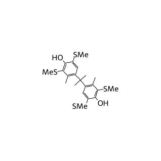 CSc1cc(C(C)(C)c2cc(SC)c(O)c(SC)c2C)c(C)c(SC)c1O